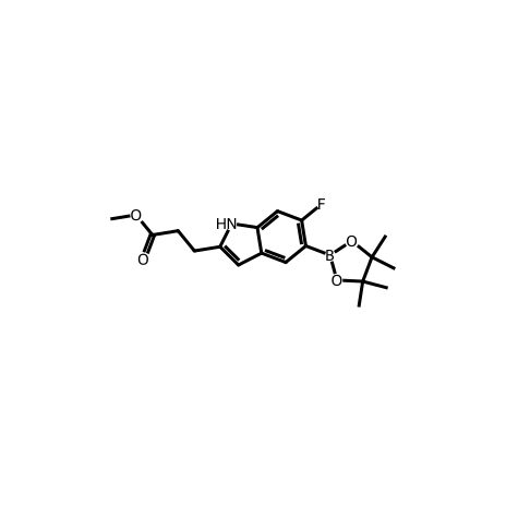 COC(=O)CCc1cc2cc(B3OC(C)(C)C(C)(C)O3)c(F)cc2[nH]1